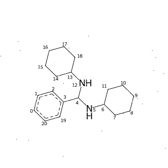 c1ccc(C(NC2CCCCC2)NC2CCCCC2)cc1